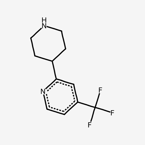 FC(F)(F)c1ccnc(C2CCNCC2)c1